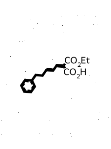 CCOC(=O)C(=CC=CCCc1ccccc1)C(=O)O